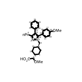 CCCc1nn(C[C@H]2CC[C@H](C(OC)C(=O)O)CC2)c(-c2ccc(OC)cc2)c1-c1ccccc1